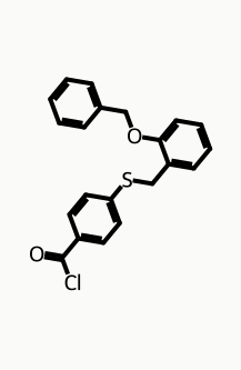 O=C(Cl)c1ccc(SCc2ccccc2OCc2ccccc2)cc1